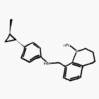 CCCN1CCCc2cccc(CNc3ccc([C@@H]4C[C@H]4C)cc3)c21